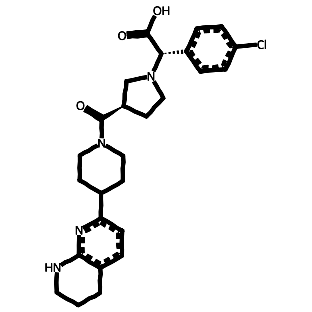 O=C(O)[C@H](c1ccc(Cl)cc1)N1CC[C@@H](C(=O)N2CCC(c3ccc4c(n3)NCCC4)CC2)C1